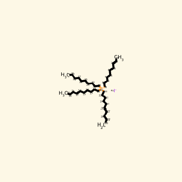 CCCCCCCCCC[P+](CCCCCCCCCC)(CCCCCCCCCC)CCCCCCCCCC.[I-]